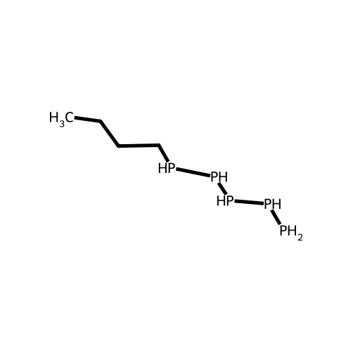 CCCCPPPPP